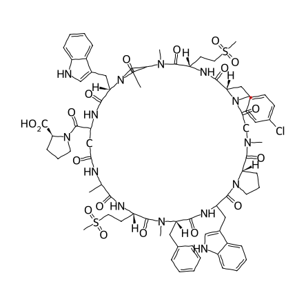 CC1NC(=O)CC(C(=O)N2CCC[C@H]2C(=O)O)NC(=O)[C@H](Cc2c[nH]c3ccccc23)N2C(=O)C(C2C)N(C)C(=O)[C@H](CCS(C)(=O)=O)NC(=O)[C@H](Cc2ccc(Cl)cc2)N(C)C(=O)CN(C)C(=O)[C@@H]2CCCN2C(=O)C(Cc2c[nH]c3ccccc23)NC(=O)[C@H](Cc2ccccc2)N(C)C(=O)[C@H](CCS(C)(=O)=O)NC1=O